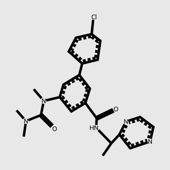 CC(NC(=O)c1cc(-c2ccc(Cl)cc2)cc(N(C)C(=O)N(C)C)c1)c1cnccn1